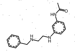 CC(=O)Nc1cccc(NCCNCc2ccccc2)c1